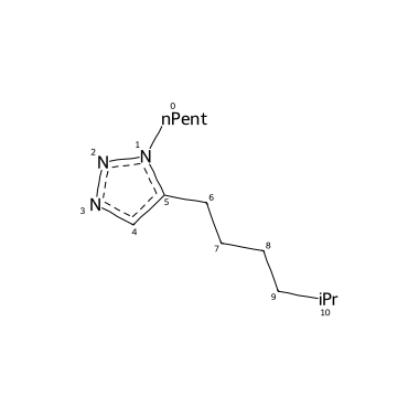 CCCCCn1nncc1CCCCC(C)C